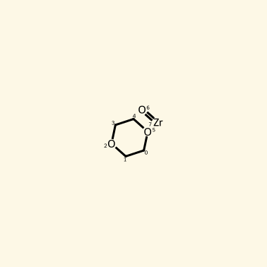 C1COCCO1.[O]=[Zr]